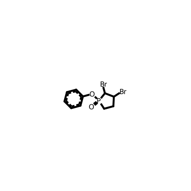 O=P1(Oc2ccccc2)CCC(Br)C1Br